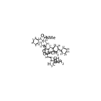 CNC(=O)C1(Cc2ccccc2)CCN(C(=O)[C@@H](Cc2ccc(-c3ccccc3)cc2)N(C)C(=O)/C=C/CC(C)(C)N)CC1